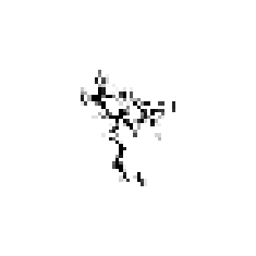 C=CCOP(=O)(OP(=O)(O)O)OP(=O)(O)O